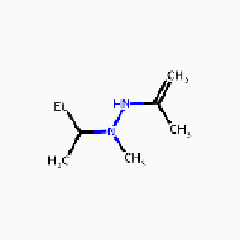 C=C(C)NN(C)C(C)CC